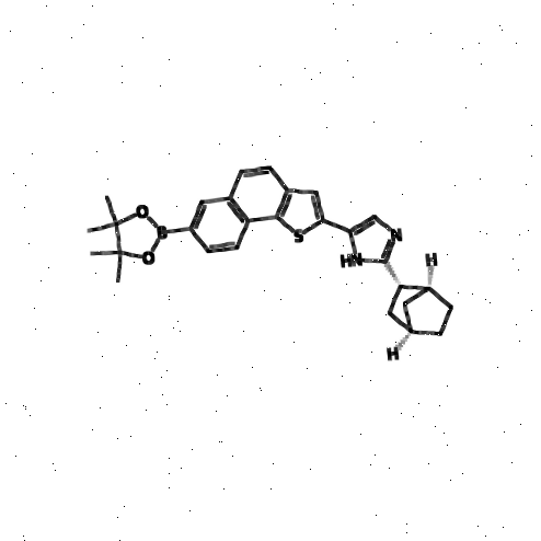 CC1(C)OB(c2ccc3c(ccc4cc(-c5cnc([C@H]6C[C@@H]7CC[C@H]6C7)[nH]5)sc43)c2)OC1(C)C